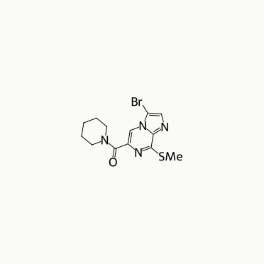 CSc1nc(C(=O)N2CCCCC2)cn2c(Br)cnc12